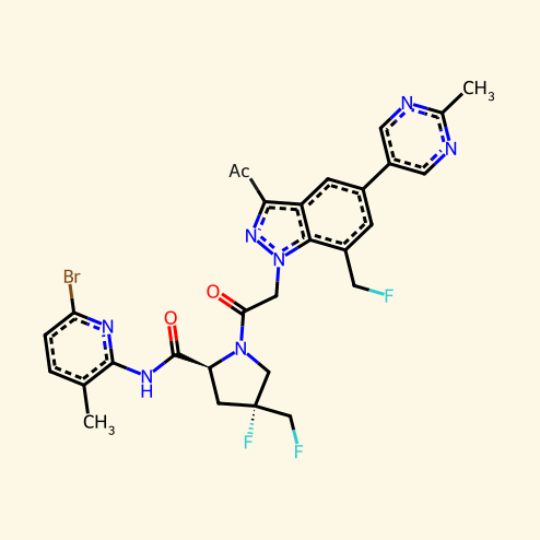 CC(=O)c1nn(CC(=O)N2C[C@@](F)(CF)C[C@H]2C(=O)Nc2nc(Br)ccc2C)c2c(CF)cc(-c3cnc(C)nc3)cc12